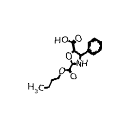 CCCCOC(=O)C1NC(c2ccccc2)C(C(=O)O)O1